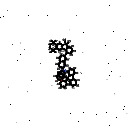 CC1(C)CCC(C)(C)c2cc3c(cc21)-c1c(-c2ccc4ccc(N(c5ccccc5)c5cccc6c5C(c5ccccc5)(c5ccccc5)c5ccccc5-6)cc4c2)cccc1C3(C)C